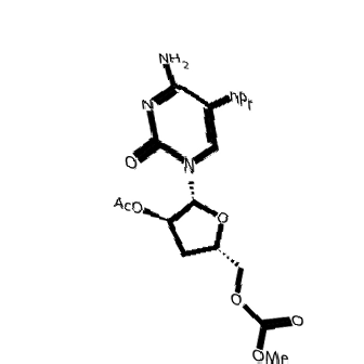 CCCc1cn([C@@H]2O[C@H](COC(=O)OC)C[C@H]2OC(C)=O)c(=O)nc1N